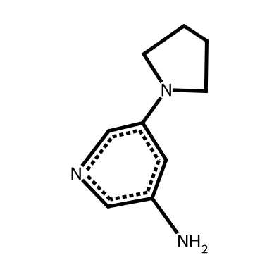 Nc1cncc(N2CCCC2)c1